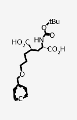 CC(C)(C)OC(=O)N[C@@H](C[C@@H](CCCOCc1ccccc1)C(=O)O)C(=O)O